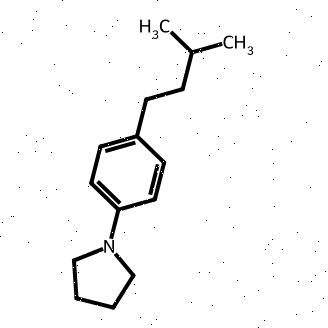 CC(C)CCc1ccc(N2CCCC2)cc1